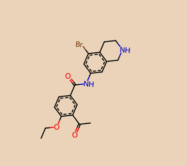 CCOc1ccc(C(=O)Nc2cc(Br)c3c(c2)CNCC3)cc1C(C)=O